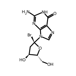 Nc1nc2c(ncn2[C@@]2(Br)C[C@H](O)[C@@H](CO)O2)c(=O)[nH]1